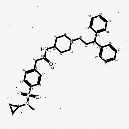 CN(C1CC1)S(=O)(=O)c1ccc(CC(=O)NC2CCN(CCC(c3ccccc3)c3ccccc3)CC2)cc1